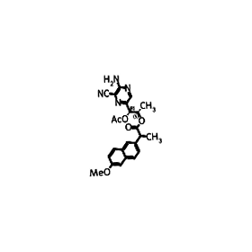 COc1ccc2cc(C(C)C(=O)O[C@@H](C)[C@H](OC(C)=O)c3cnc(N)c(C#N)n3)ccc2c1